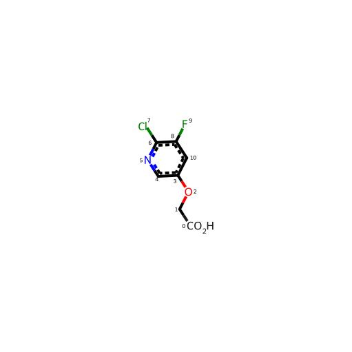 O=C(O)COc1cnc(Cl)c(F)c1